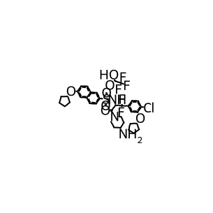 NC1CCN(C(=O)[C@H](NS(=O)(=O)c2ccc3cc(OC4CCCC4)ccc3c2)C(F)(F)c2ccc(Cl)c(OC3CCCC3)c2)CC1.O=C(O)C(F)(F)F